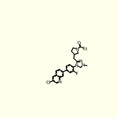 CCC(=O)N1CCC(CC2=NN(C)CN2c2ccc(-c3ccc4cc(Cl)cnc4c3)cc2F)C1